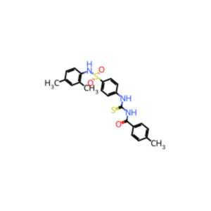 Cc1ccc(C(=O)NC(=S)Nc2ccc(S(=O)(=O)Nc3ccc(C)cc3C)cc2)cc1